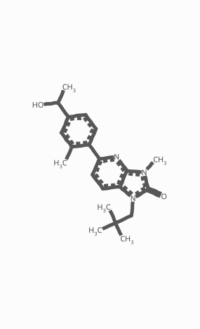 Cc1cc(C(C)O)ccc1-c1ccc2c(n1)n(C)c(=O)n2CC(C)(C)C